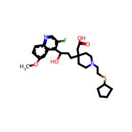 COc1ccc2ncc(F)c(C(O)CCC3(CC(=O)O)CCN(CCSC4CCCC4)CC3)c2c1